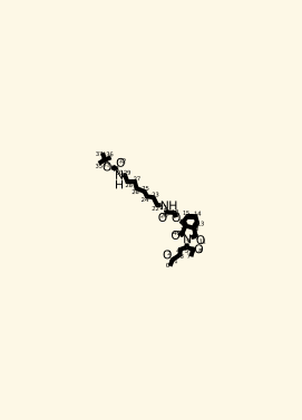 CC(=O)CCC(C(C)=O)N1C(=O)c2cccc(OCC(=O)NCCCCCCCCNC(=O)OC(C)(C)C)c2C1=O